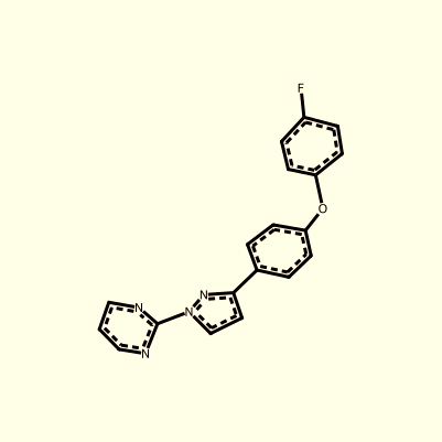 Fc1ccc(Oc2ccc(-c3ccn(-c4ncccn4)n3)cc2)cc1